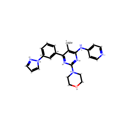 COc1c(Nc2ccncc2)nc(N2CCOCC2)nc1-c1cccc(-n2cccn2)c1